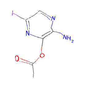 CC(=O)Oc1nc(I)cnc1N